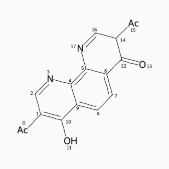 CC(=O)c1cnc2c3c(ccc2c1O)C(=O)C(C(C)=O)C=N3